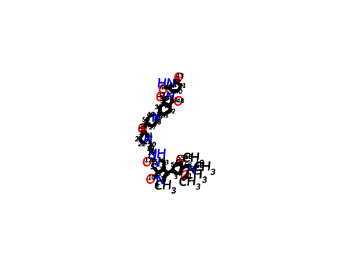 COc1cc(-c2cn(C)c(=O)c3c2CCN(C(=O)NCCN2CCC(OC4CCN(c5ccc6c(c5)C(=O)N(C5CCC(=O)NC5=O)C6=O)CC4)C2)C3)cc(OC)c1CN(C)C